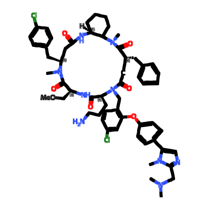 COC[C@@H]1NC(=O)[C@H](CCCN)N(Cc2ccc(Cl)cc2Oc2ccc(-c3cnc(CN(C)C)n3C)cc2)C(=O)C[C@@H](Cc2ccccc2)C(=O)N(C)C2CCCC[C@@H]2NC(=O)C[C@H](Cc2ccc(Cl)cc2)N(C)C1=O